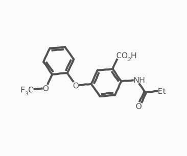 CCC(=O)Nc1ccc(Oc2ccccc2OC(F)(F)F)cc1C(=O)O